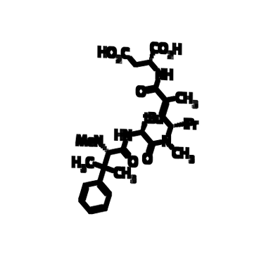 CN[C@H](C(=O)N[C@H](C(=O)N(C)[C@H](/C=C(\C)C(=O)N[C@H](CC(=O)O)C(=O)O)C(C)C)C(C)(C)C)C(C)(C)c1ccccc1